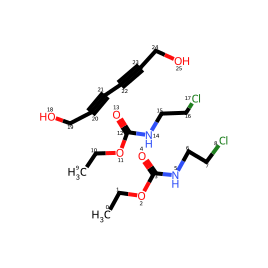 CCOC(=O)NCCCl.CCOC(=O)NCCCl.OCC#CC#CCO